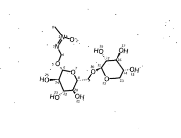 C/[N+]([O-])=N/CO[C@@H]1O[C@H](CO[C@@H]2OC[C@@H](O)[C@H](O)[C@H]2O)[C@@H](O)[C@H](O)[C@H]1O